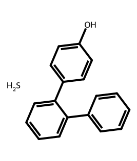 Oc1ccc(-c2ccccc2-c2ccccc2)cc1.S